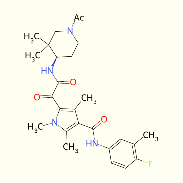 CC(=O)N1CC[C@@H](NC(=O)C(=O)c2c(C)c(C(=O)Nc3ccc(F)c(C)c3)c(C)n2C)C(C)(C)C1